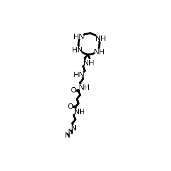 CC1(CNCCNCCNC(=O)CCCC(=O)NCCCN=[N+]=[N-])CNCCNCCCNCCNC1